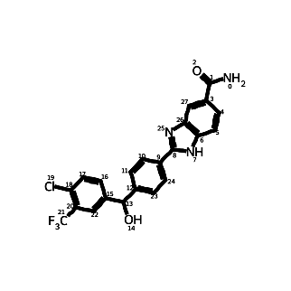 NC(=O)c1ccc2[nH]c(-c3ccc(C(O)c4ccc(Cl)c(C(F)(F)F)c4)cc3)nc2c1